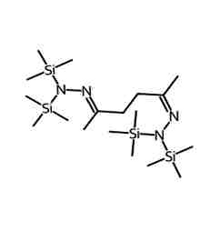 CC(CCC(C)=NN([Si](C)(C)C)[Si](C)(C)C)=NN([Si](C)(C)C)[Si](C)(C)C